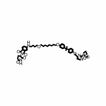 CC(C)(c1ccc(OCCCCCCCCOCCCCNc2ccc3c(c2)C(=O)N(C2CCC(=O)NC2=O)C3=O)cc1)c1ccc(OCc2ccnc(N3CCCS3(=O)=O)n2)cc1